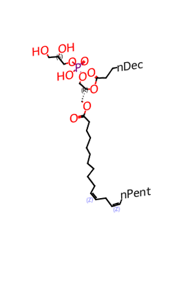 CCCCC/C=C\C/C=C\CCCCCCCCCC(=O)OC[C@H](COP(=O)(O)OC[C@@H](O)CO)OC(=O)CCCCCCCCCCCC